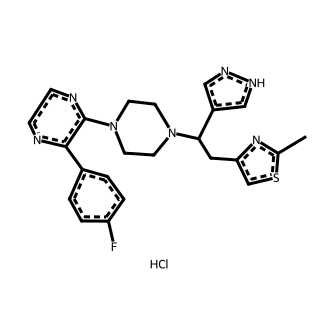 Cc1nc(CC(c2cn[nH]c2)N2CCN(c3nccnc3-c3ccc(F)cc3)CC2)cs1.Cl